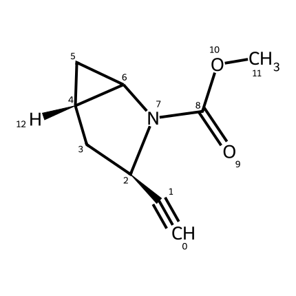 C#C[C@H]1C[C@@H]2CC2N1C(=O)OC